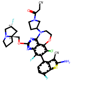 N#CCC(=O)N1CCC(N2CCOc3c(Cl)c(-c4ccc(F)c5sc(N)c(C#N)c45)c(F)c4nc(OC[C@@]56CCCN5C[C@H](F)C6)nc2c34)C1